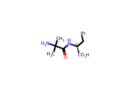 CC(C)C[C@H](NC(=O)C(C)(C)N)C(=O)O